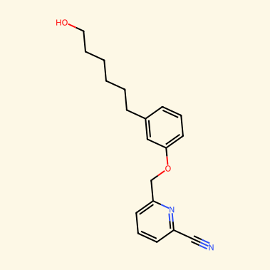 N#Cc1cccc(COc2cccc(CCCCCCO)c2)n1